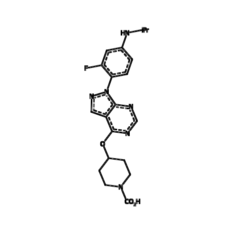 CC(C)Nc1ccc(-n2ncc3c(OC4CCN(C(=O)O)CC4)ncnc32)c(F)c1